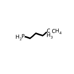 C.CCCCP